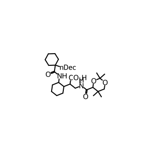 CCCCCCCCCCC1(C(=O)NC2CCCCC2C(CNC(=O)C2OC(C)(C)OCC2(C)C)C(=O)O)CCCCC1